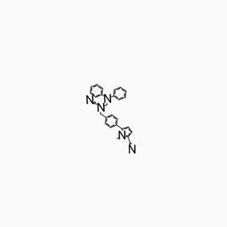 Cn1c(C#N)ccc1-c1ccc(CN(C#N)CN(c2ccccc2)c2ccccc2)cc1